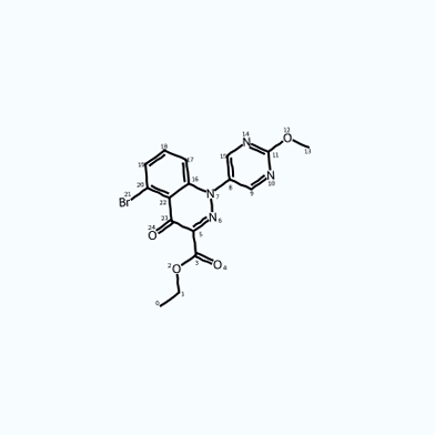 CCOC(=O)c1nn(-c2cnc(OC)nc2)c2cccc(Br)c2c1=O